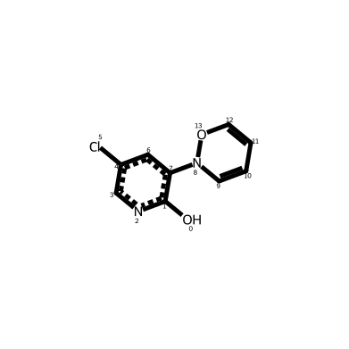 Oc1ncc(Cl)cc1N1C=CC=CO1